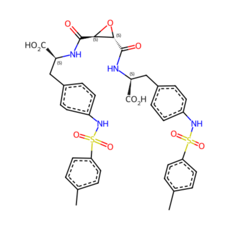 Cc1ccc(S(=O)(=O)Nc2ccc(C[C@H](NC(=O)[C@H]3O[C@@H]3C(=O)N[C@@H](Cc3ccc(NS(=O)(=O)c4ccc(C)cc4)cc3)C(=O)O)C(=O)O)cc2)cc1